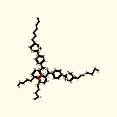 CCCCCCCc1cnc(-c2ccc(C(OC(c3ccc(CCCCC)cc3)c3ccc(-c4ncc(CCCCCCC)cn4)cc3)c3ccc(CCCCC)cc3)cc2)nc1